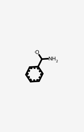 NC([O])c1ccccc1